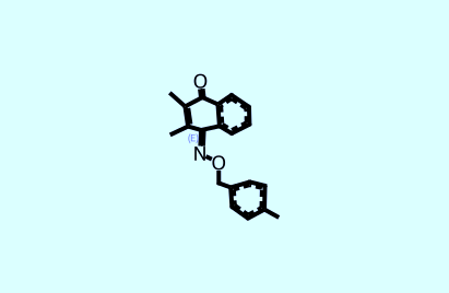 CC1=C(C)/C(=N/OCc2ccc(C)cc2)c2ccccc2C1=O